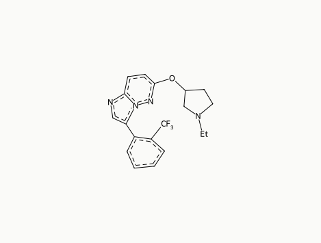 CCN1CCC(Oc2ccc3ncc(-c4ccccc4C(F)(F)F)n3n2)C1